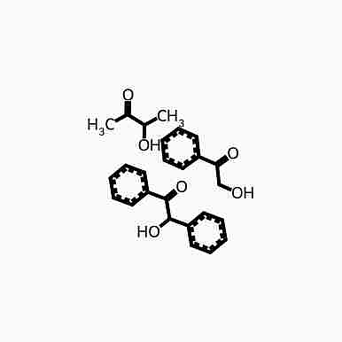 CC(=O)C(C)O.O=C(CO)c1ccccc1.O=C(c1ccccc1)C(O)c1ccccc1